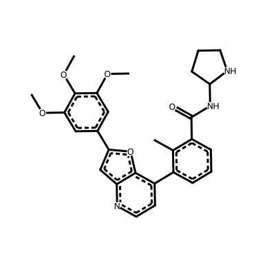 COc1cc(-c2cc3nccc(-c4cccc(C(=O)NC5CCCN5)c4C)c3o2)cc(OC)c1OC